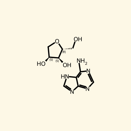 Nc1ncnc2nc[nH]c12.OC[C@H]1OC[C@H](O)[C@@H]1O